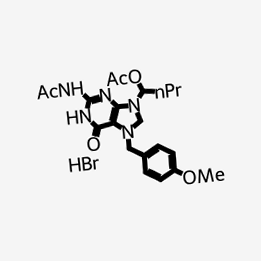 Br.CCCC(OC(C)=O)N1CN(Cc2ccc(OC)cc2)c2c1nc(NC(C)=O)[nH]c2=O